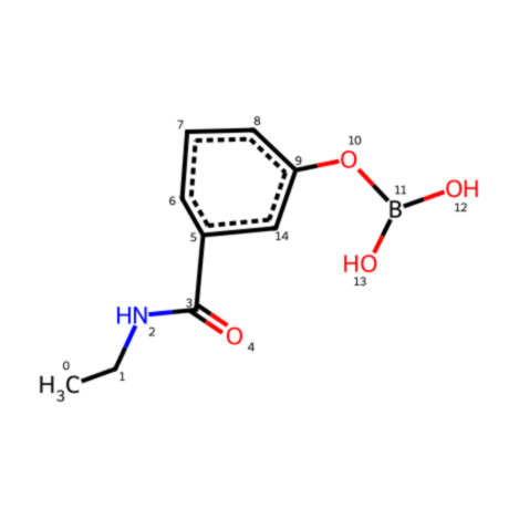 CCNC(=O)c1cccc(OB(O)O)c1